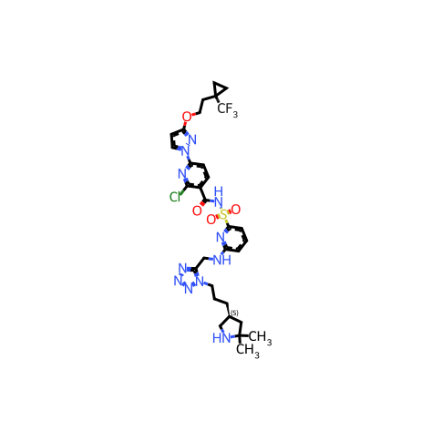 CC1(C)C[C@H](CCCn2nnnc2CNc2cccc(S(=O)(=O)NC(=O)c3ccc(-n4ccc(OCCC5(C(F)(F)F)CC5)n4)nc3Cl)n2)CN1